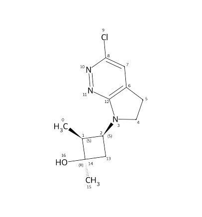 C[C@H]1[C@@H](N2CCc3cc(Cl)nnc32)C[C@@]1(C)O